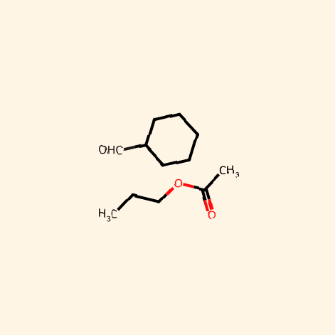 CCCOC(C)=O.O=CC1CCCCC1